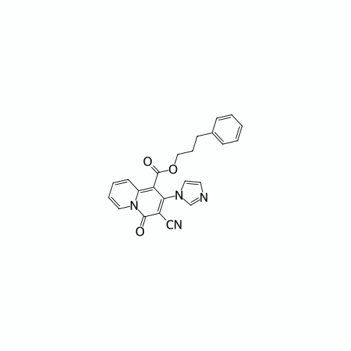 N#Cc1c(-n2ccnc2)c(C(=O)OCCCc2ccccc2)c2ccccn2c1=O